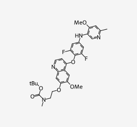 COc1cc(C)ncc1Nc1cc(F)c(Oc2ccnc3cc(OCCN(C)C(=O)OC(C)(C)C)c(OC)cc23)c(F)c1